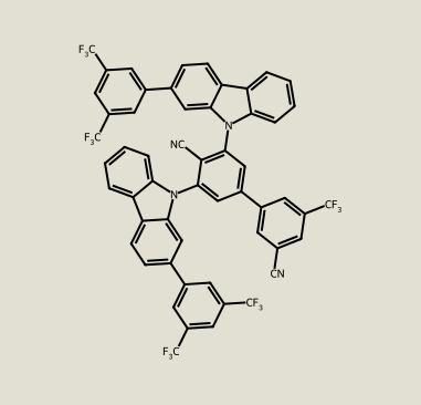 N#Cc1cc(-c2cc(-n3c4ccccc4c4ccc(-c5cc(C(F)(F)F)cc(C(F)(F)F)c5)cc43)c(C#N)c(-n3c4ccccc4c4ccc(-c5cc(C(F)(F)F)cc(C(F)(F)F)c5)cc43)c2)cc(C(F)(F)F)c1